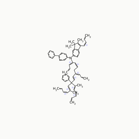 C=C/C=C\C=C(/C)C(/C=C/C(=C\C=C)C/C=C\C(=C/C=C)N(c1ccc(-c2ccccc2)cc1)c1ccc2c(c1)C(C)(C)C(C)=C2/C=C\C=C)(/C=C(C)/C=C\C=C)c1ccccc1